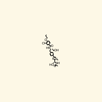 CCCOc1ccc(C(=O)N[C@H](CCO)Cc2ccc(-c3cn(C)c([C@H](CO)NC(C)=O)n3)cc2)cc1Cl